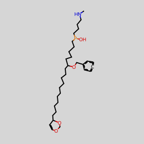 CNCCCCP(O)CCCCCC(CCCCCCCCCCCC1C=COCO1)OCc1ccccc1